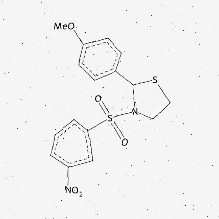 COc1ccc(C2SCCN2S(=O)(=O)c2cccc([N+](=O)[O-])c2)cc1